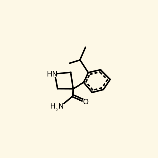 CC(C)c1ccccc1C1(C(N)=O)CNC1